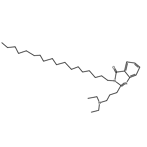 CCCCCCCCCCCCCCCCCCn1c(CCCN(CC)CC)nc2ccccc2c1=O